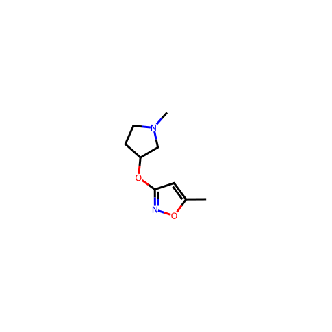 Cc1cc(OC2CCN(C)C2)no1